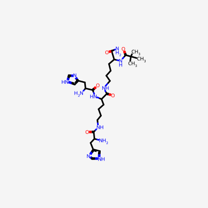 CC(C)(C)C(=O)NC(CCCCNC(=O)C(CCCCNC(=O)C(N)Cc1c[nH]cn1)NC(=O)C(N)Cc1c[nH]cn1)C(N)=O